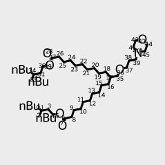 CCCCC(CCCC)CCOC(=O)CCCCCCCCCC(CCCCCCCCCC(=O)OCCC(CCCC)CCCC)COCCCN1CCOCC1